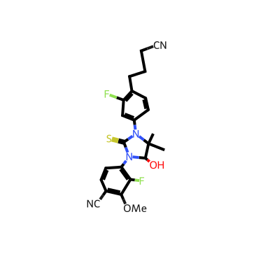 COc1c(C#N)ccc(N2C(=S)N(c3ccc(CCCC#N)c(F)c3)C(C)(C)C2O)c1F